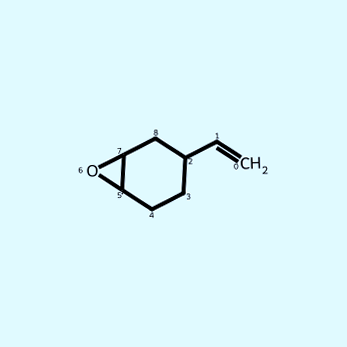 C=CC1CC[C]2OC2C1